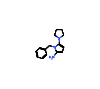 Nc1ccc(N2CCCC2)n1Cc1ccccc1